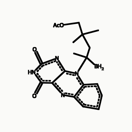 BC(C)(CC(C)(C)COC(C)=O)n1c2nc(=O)[nH]c(=O)c-2nc2ccccc21